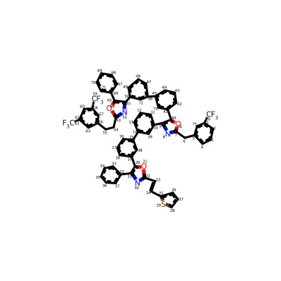 FC(F)(F)c1cccc(Cc2nc(-c3cccc(-c4cccc(-c5oc(/C=C/c6cccs6)nc5-c5ccccc5)c4)c3)c(-c3cccc(-c4cccc(-c5nc(CCc6cc(C(F)(F)F)cc(C(F)(F)F)c6)oc5-c5ccccc5)c4)c3)o2)c1